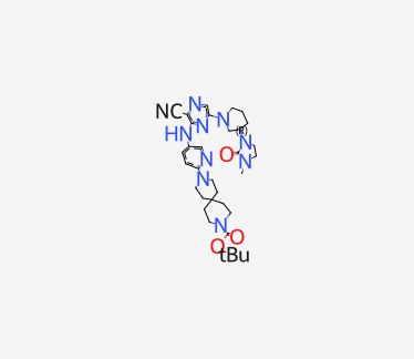 CN1CCN([C@@H]2CCCN(c3cnc(C#N)c(Nc4ccc(N5CCC6(CCN(C(=O)OC(C)(C)C)CC6)CC5)nc4)n3)C2)C1=O